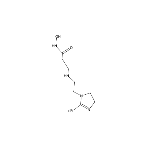 CCCC1=NCCN1CCNCCC(=O)NO